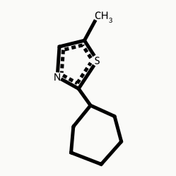 Cc1cnc(C2CCCCC2)s1